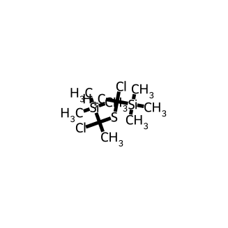 CC(Cl)(SC(C)(Cl)[Si](C)(C)C)[Si](C)(C)C